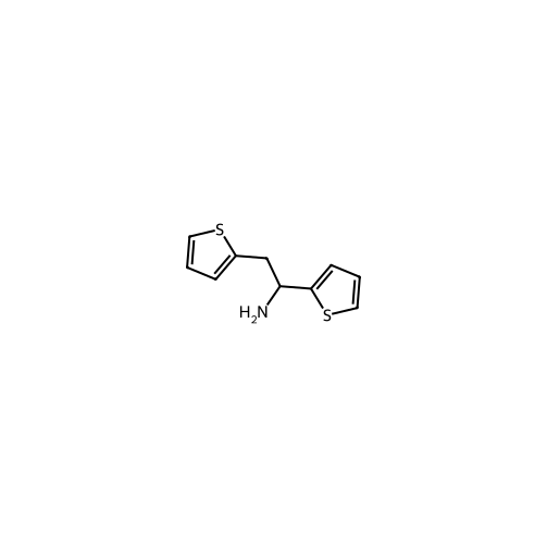 NC(Cc1cccs1)c1cccs1